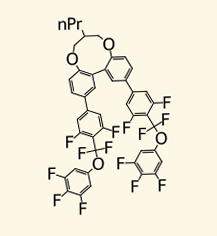 CCCC1COc2ccc(-c3cc(F)c(C(F)(F)Oc4cc(F)c(F)c(F)c4)c(F)c3)cc2-c2cc(-c3cc(F)c(C(F)(F)Oc4cc(F)c(F)c(F)c4)c(F)c3)ccc2OC1